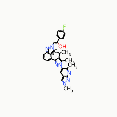 Cc1nc2nn(C)cc2cc1-n1nc(-c2cccc3nn(C[C@H](O)c4ccc(F)cc4)cc23)c(C(C)C)c1C